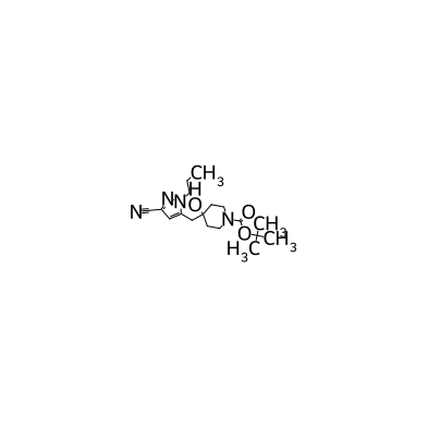 CCCn1nc(C#N)cc1CC1(O)CCN(C(=O)OC(C)(C)C)CC1